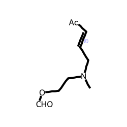 CC(=O)/C=C/CN(C)CCOC=O